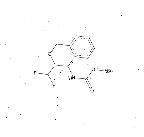 CC(C)(C)OC(=O)NC1c2ccccc2COC1C(F)F